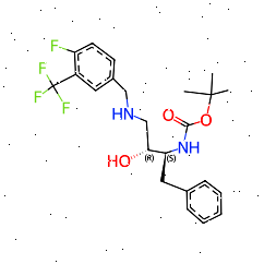 CC(C)(C)OC(=O)N[C@@H](Cc1ccccc1)[C@H](O)CNCc1ccc(F)c(C(F)(F)F)c1